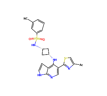 CC(=O)c1csc(-c2cnc3[nH]ccc3c2N[C@H]2C[C@@H](NS(=O)(=O)c3cccc(C#N)c3)C2)n1